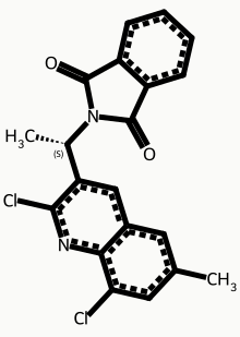 Cc1cc(Cl)c2nc(Cl)c([C@H](C)N3C(=O)c4ccccc4C3=O)cc2c1